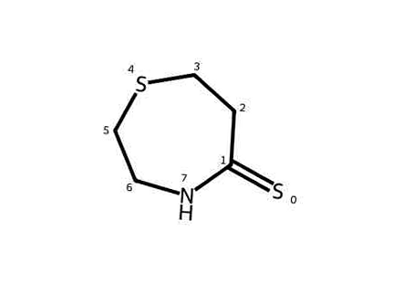 S=C1CCSCCN1